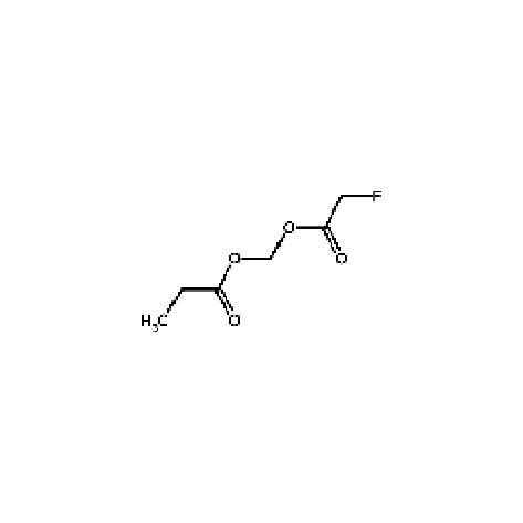 CCC(=O)OCOC(=O)CF